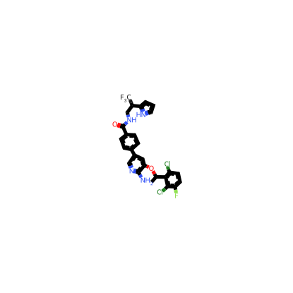 CC(Oc1cc(-c2ccc(C(=O)NCC(c3ccc[nH]3)C(F)(F)F)cc2)cnc1N)c1c(Cl)ccc(F)c1Cl